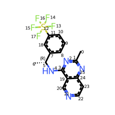 Cc1nc(N[C@H](C)c2cccc(S(F)(F)(F)(F)F)c2)c2cnccc2n1